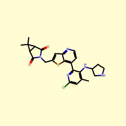 Cc1cc(Cl)nc(-c2ccnc3cc(CN4C(=O)C5C(C4=O)C5(C)C)sc23)c1NC1CCNC1